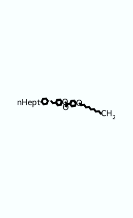 C=CCCCCCCCCOc1ccc(C(=O)Oc2ccc(CC[C@H]3CC[C@H](CCCCCCC)CC3)cc2)cc1